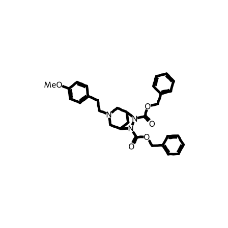 COc1ccc(CCN2CC3CC(C2)N(C(=O)OCc2ccccc2)N3C(=O)OCc2ccccc2)cc1